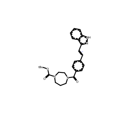 CC(C)(C)OC(=O)N1CCCN(C(=O)c2ccc(/C=C/c3n[nH]c4ccccc34)cc2)CC1